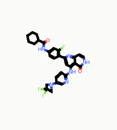 O=C(Nc1ccc(-c2cc(Nc3ccc(N4CC(F)(F)C4)cn3)c3c(=O)[nH]ccc3n2)c(F)c1)C1CCCCC1